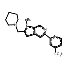 CCCCn1c(CN2CCCCC2)cc2cc(-c3cc(C(=O)O)ccn3)ncc21